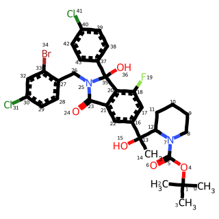 CC(C)(C)OC(=O)N1CCCCC1C(C)(O)c1cc(F)c2c(c1)C(=O)N(Cc1ccc(Cl)cc1Br)C2(O)c1ccc(Cl)cc1